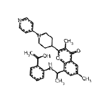 C=C(O)c1ccccc1NC(C)c1cc(C)cc2c(=O)c(C)c(C3CCN(c4ccncc4)CC3)oc12